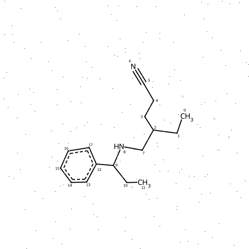 CCC(CCC#N)CNC(CC)c1ccccc1